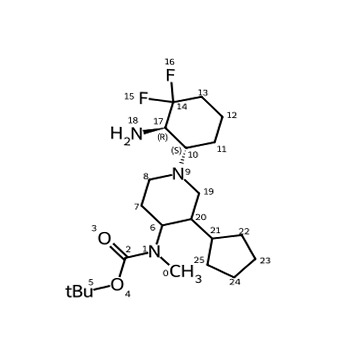 CN(C(=O)OC(C)(C)C)C1CCN([C@H]2CCCC(F)(F)[C@@H]2N)CC1C1CCCC1